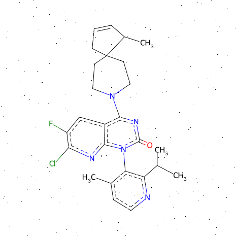 Cc1ccnc(C(C)C)c1-n1c(=O)nc(N2CCC3(CC=CC3C)CC2)c2cc(F)c(Cl)nc21